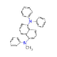 CN(c1ccccc1)c1cccc2c(N(c3ccccc3)c3ccccc3)cccc12